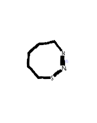 C1CC/N=N\SCC1